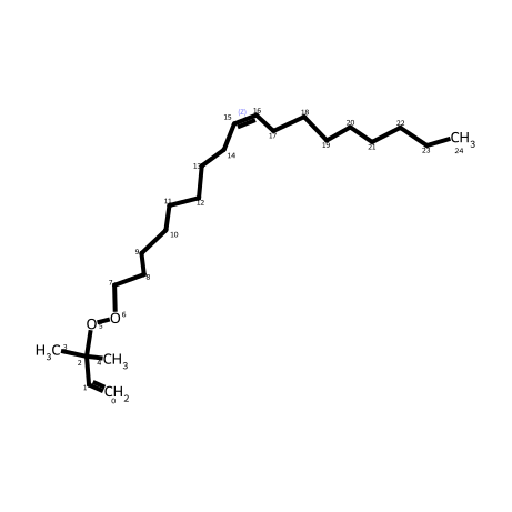 C=CC(C)(C)OOCCCCCCCC/C=C\CCCCCCCC